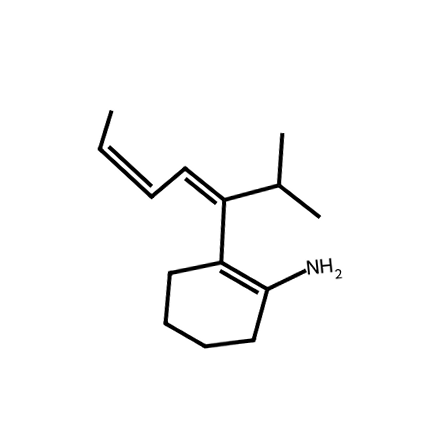 C/C=C\C=C(/C1=C(N)CCCC1)C(C)C